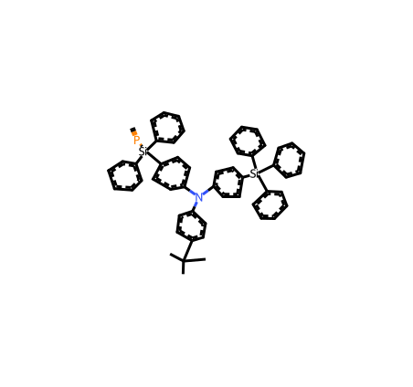 C=P[Si](c1ccccc1)(c1ccccc1)c1ccc(N(c2ccc(C(C)(C)C)cc2)c2ccc([Si](c3ccccc3)(c3ccccc3)c3ccccc3)cc2)cc1